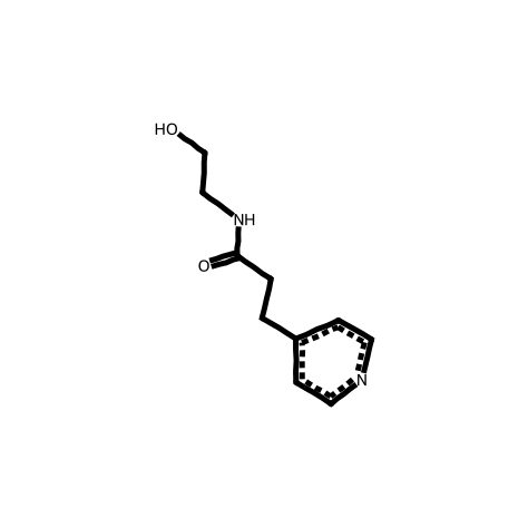 O=C(CCc1ccncc1)NCCO